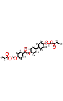 C=CC(=O)OCOc1ccc(C(=O)Oc2ccc(-c3ccc(OCOC(=O)C=C)cc3)cc2)cc1